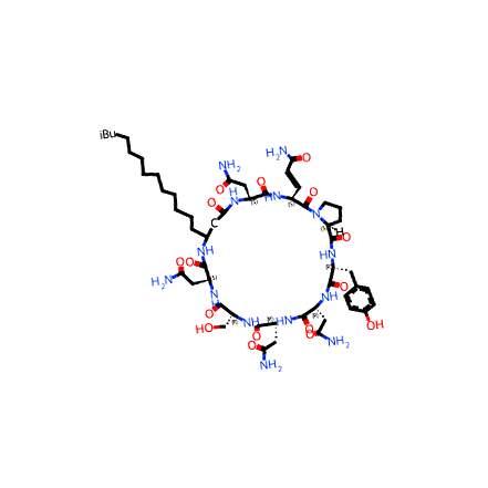 CCC(C)CCCCCCCCCCC1CC(=O)N[C@@H](CC(N)=O)C(=O)N[C@@H](C=CC(N)=O)C(=O)N2CCC[C@H]2C(=O)N[C@H](Cc2ccc(O)cc2)C(=O)N[C@H](CC(N)=O)C(=O)N[C@H](CC(N)=O)C(=O)N[C@H](CO)C(=O)N[C@@H](CC(N)=O)C(=O)N1